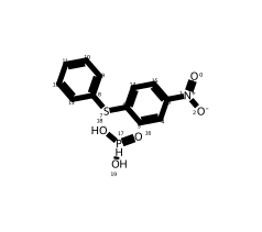 O=[N+]([O-])c1ccc(Sc2ccccc2)cc1.O=[PH](O)O